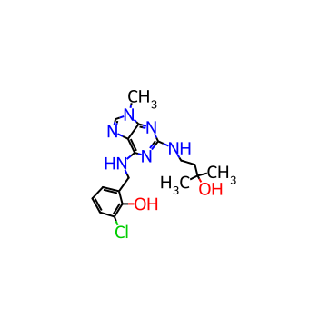 Cn1cnc2c(NCc3cccc(Cl)c3O)nc(NCCC(C)(C)O)nc21